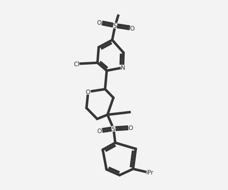 CC(C)c1cccc(S(=O)(=O)C2(C)CCOC(c3ncc(S(C)(=O)=O)cc3Cl)C2)c1